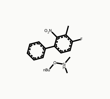 CCCCO[SiH](C)C.Cc1c(F)ccc(-c2ccccc2)c1[N+](=O)[O-]